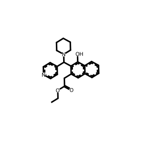 CCOC(=O)Cc1cc2ccccc2c(O)c1C(c1ccncc1)N1CCCCC1